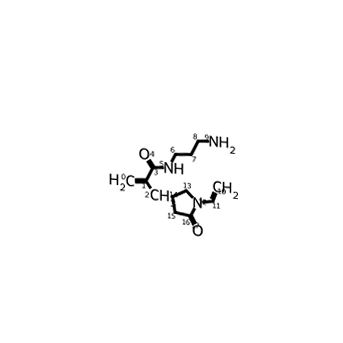 C=C(C)C(=O)NCCCN.C=CN1CCCC1=O